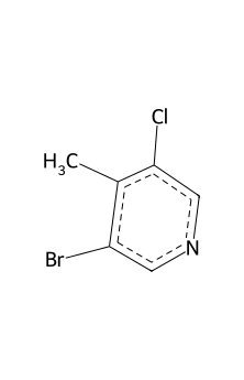 Cc1c(Cl)cncc1Br